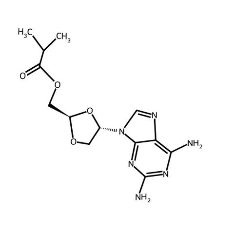 CC(C)C(=O)OC[C@@H]1OC[C@@H](n2cnc3c(N)nc(N)nc32)O1